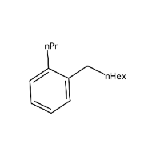 CCCCCCCc1ccccc1CCC